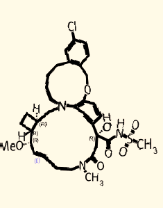 CO[C@H]1/C=C/CCN(C)C(=O)C[C@](O)(C(=O)NS(C)(=O)=O)c2ccc3c(c2)N(CCCCc2cc(Cl)ccc2CO3)C[C@@H]2CC[C@H]21